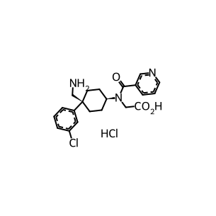 Cl.NC[C@]1(c2cccc(Cl)c2)CC[C@H](N(CC(=O)O)C(=O)c2cccnc2)CC1